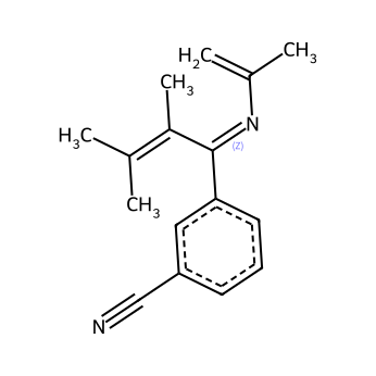 C=C(C)/N=C(\C(C)=C(C)C)c1cccc(C#N)c1